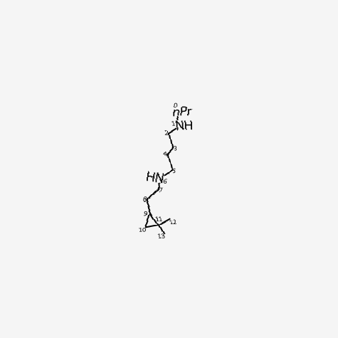 CCCNCCCCNCCC1CC1(C)C